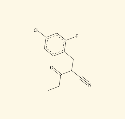 CCC(=O)C(C#N)Cc1ccc(Cl)cc1F